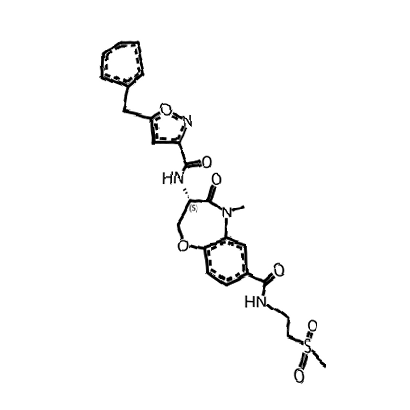 CN1C(=O)[C@@H](NC(=O)c2cc(Cc3ccccc3)on2)COc2ccc(C(=O)NCCS(C)(=O)=O)cc21